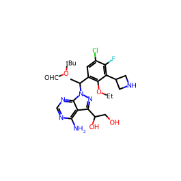 CC(C)(C)OC=O.CCOc1c(C(C)n2nc(C(O)CO)c3c(N)ncnc32)cc(Cl)c(F)c1C1CNC1